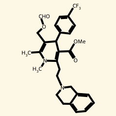 COC(=O)C1=C(CCN2CCc3ccccc3C2)N(C)C(C)=C(COC=O)C1c1ccc(C(F)(F)F)cc1